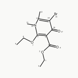 CCOC(=O)c1c(OCC)n(C)c(C)c(Br)c1=O